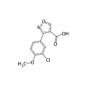 COc1ccc(-c2nocc2C(=O)O)cc1Cl